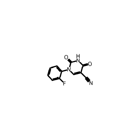 N#Cc1cn(-c2ccccc2F)c(=O)[nH]c1=O